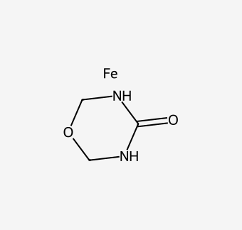 O=C1NCOCN1.[Fe]